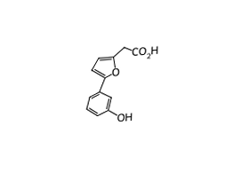 O=C(O)Cc1ccc(-c2cccc(O)c2)o1